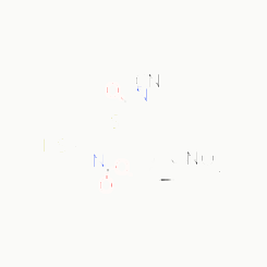 CN(C#N)C(=O)CSCC1CC(S)CN1C(=O)OCc1ccc([N+](=O)[O-])cc1